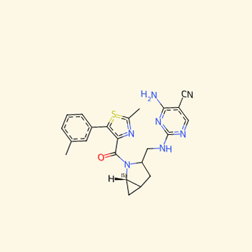 Cc1cccc(-c2sc(C)nc2C(=O)N2C(CNc3ncc(C#N)c(N)n3)CC3C[C@@H]32)c1